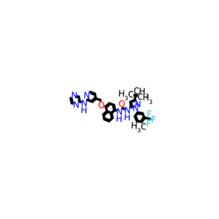 Cc1ccc(-n2nc(C(C)(C)C)cc2NC(=O)Nc2ccc(OCc3ccnc(Nc4cnccn4)c3)c3ccccc23)cc1C(F)(F)F